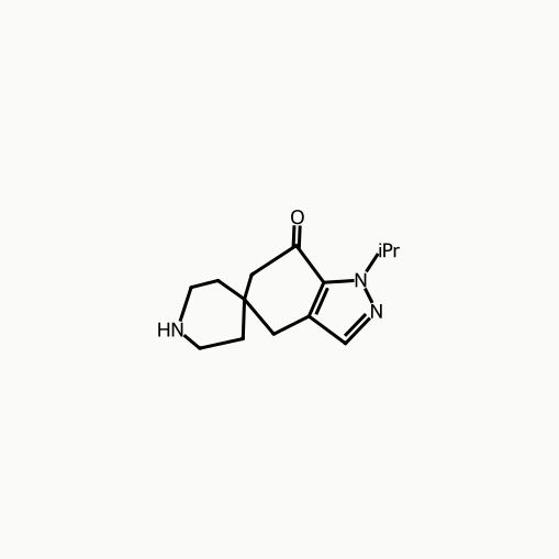 CC(C)n1ncc2c1C(=O)CC1(CCNCC1)C2